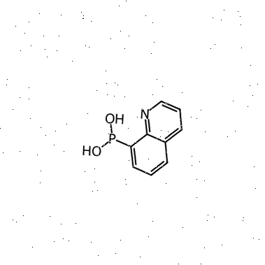 OP(O)c1cccc2cccnc12